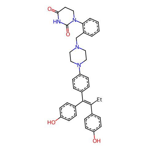 CCC(=C(c1ccc(O)cc1)c1ccc(N2CCN(Cc3ccccc3N3CCC(=O)NC3=O)CC2)cc1)c1ccc(O)cc1